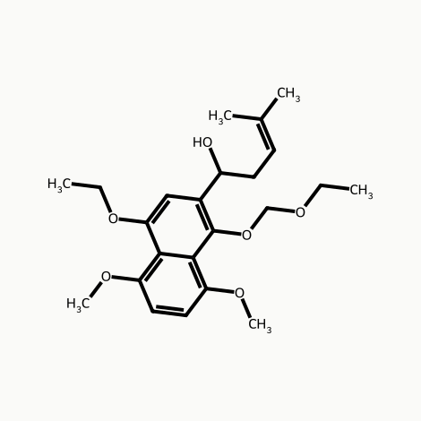 CCOCOc1c(C(O)CC=C(C)C)cc(OCC)c2c(OC)ccc(OC)c12